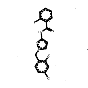 O=C(Nc1ccn(Cc2ccc(Cl)cc2Cl)n1)c1ccccc1F